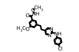 CONC(=O)c1cc(CCc2cnc(Nc3ccc(Cl)cc3)nc2)cc(OC)c1